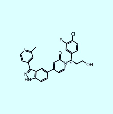 Cc1cc(-c2n[nH]c3ccc(-c4ccn([C@H](CCO)c5ccc(Cl)c(F)c5)c(=O)c4)cc23)ccn1